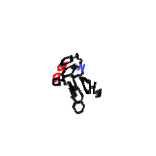 COc1cc2ncc(C)c(-c3ccc4c(c3)CCCC4)c2cc1OC